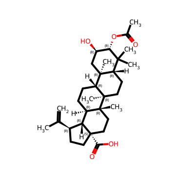 C=C(C)[C@@H]1CC[C@]2(C(=O)O)CC[C@]3(C)[C@H](CC[C@@H]4[C@@]5(C)C[C@@H](O)[C@H](OC(C)=O)C(C)(C)[C@@H]5CC[C@]43C)[C@@H]12